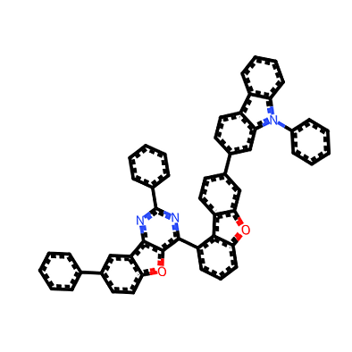 c1ccc(-c2ccc3oc4c(-c5cccc6oc7cc(-c8ccc9c%10ccccc%10n(-c%10ccccc%10)c9c8)ccc7c56)nc(-c5ccccc5)nc4c3c2)cc1